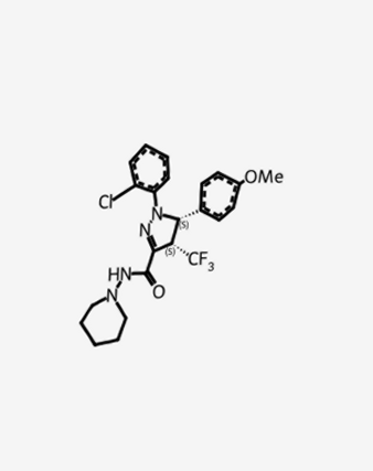 COc1ccc([C@@H]2[C@H](C(F)(F)F)C(C(=O)NN3CCCCC3)=NN2c2ccccc2Cl)cc1